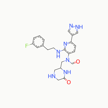 O=CN(CC1CNCC(=O)N1)c1ccc(-c2cn[nH]c2)nc1NCCc1cccc(F)c1